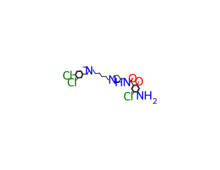 CCN(CCCCCCN1CCC(CNC(=O)c2cc(Cl)c(N)cc2OC)CC1)Cc1ccc(Cl)c(Cl)c1